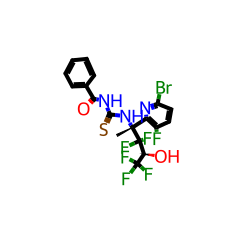 C[C@@](NC(=S)NC(=O)c1ccccc1)(c1nc(Br)ccc1F)C(F)(F)[C@@H](O)C(F)(F)F